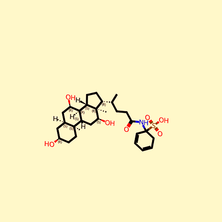 CC(CCC(=O)NC1(S(=O)(=O)O)C=CC=CC1)[C@H]1CC[C@H]2[C@@H]3[C@H](O)C[C@@H]4C[C@H](O)CC[C@]4(C)[C@H]3C[C@H](O)[C@]12C